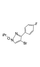 CC(C)On1cc(Br)c(-c2ccc(F)cc2)n1